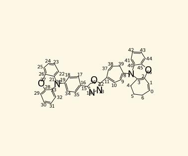 C1=CC2=C(CCC1)N(C1=CC=C(c3nnc(-c4ccc(N5c6ccccc6Oc6ccccc65)cc4)o3)C=CC1)c1ccccc1O2